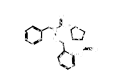 O=C(O)[C@H]1CC[C@@H](C(=O)N(Cc2ccccc2)OCc2ccccc2)C1